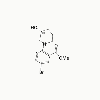 COC(=O)c1cc(Br)cnc1N1CCC[C@@H](O)C1